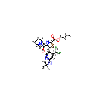 CCCCOC(=O)c1nc(C(=O)N2C3CCC2CC3)c(-c2cnc(NC(C)(C)C)cc2C(F)F)s1